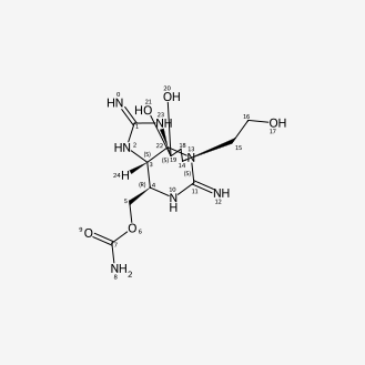 N=C1N[C@H]2[C@H](COC(N)=O)NC(=N)N3[C@@H](CCO)CC(O)(O)[C@]23N1